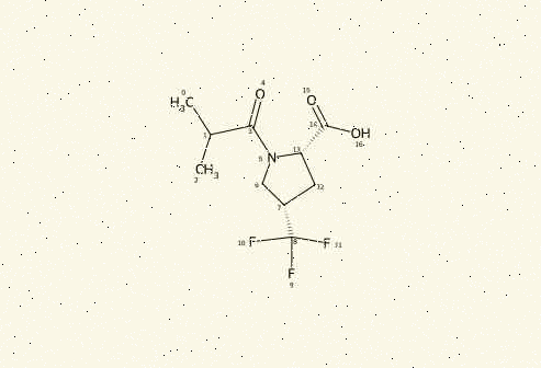 CC(C)C(=O)N1C[C@@H](C(F)(F)F)C[C@H]1C(=O)O